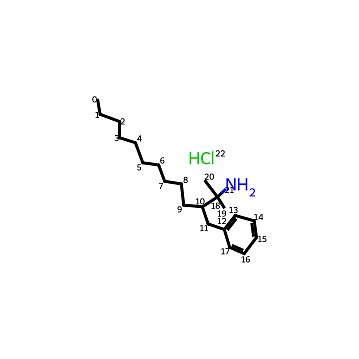 CCCCCCCCCCC(Cc1ccccc1)C(C)(C)N.Cl